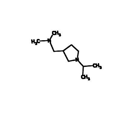 CC(C)N1CCC(CN(C)C)C1